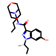 CCCCN1C2COCC1CC(NC(=O)c1nn([C@@H](C)CC)c3cc(O)ccc13)C2